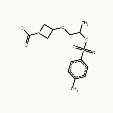 Cc1ccc(S(=O)(=O)OC(C)COC2CN(C(=O)O)C2)cc1